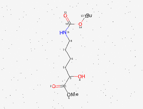 COC(=O)C(O)CCCCNC(=O)OC(C)(C)C